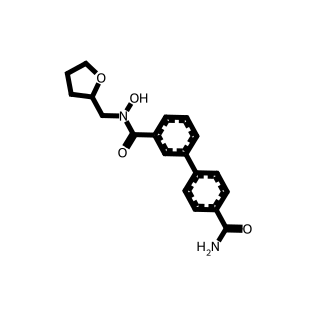 NC(=O)c1ccc(-c2cccc(C(=O)N(O)CC3CCCO3)c2)cc1